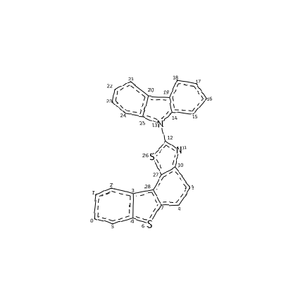 c1ccc2c(c1)sc1ccc3nc(-n4c5ccccc5c5ccccc54)sc3c12